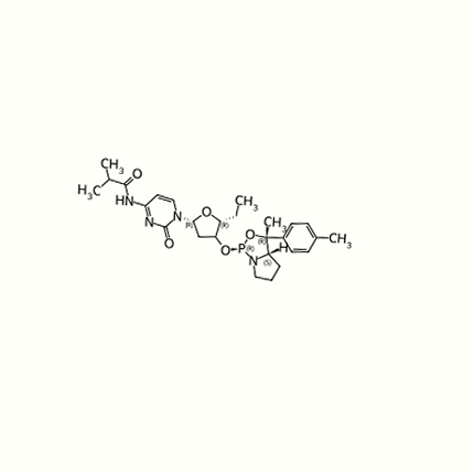 CC[C@H]1O[C@@H](n2ccc(NC(=O)C(C)C)nc2=O)CC1O[P@@]1O[C@](C)(c2ccc(C)cc2)[C@@H]2CCCN21